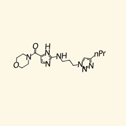 CCCc1cn(CCCNc2ncc(C(=O)N3CCOCC3)[nH]2)nn1